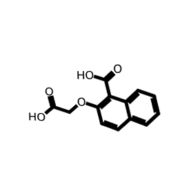 O=C(O)COc1ccc2ccccc2c1C(=O)O